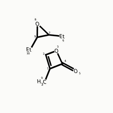 CC1=COC1=O.CCC1OC1CC